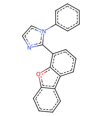 c1ccc(-n2ccnc2-c2cccc3c2oc2ccccc23)cc1